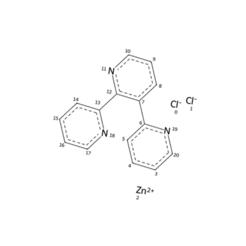 [Cl-].[Cl-].[Zn+2].c1ccc(-c2cccnc2-c2ccccn2)nc1